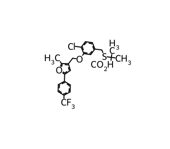 Cc1oc(-c2ccc(C(F)(F)F)cc2)cc1COc1cc(CSC(C)(C)C(=O)O)ccc1Cl